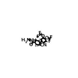 N#C[C@]1(c2ccc(OC(F)F)c(OC(F)F)c2)CC[C@H](C(=O)NN)CC1